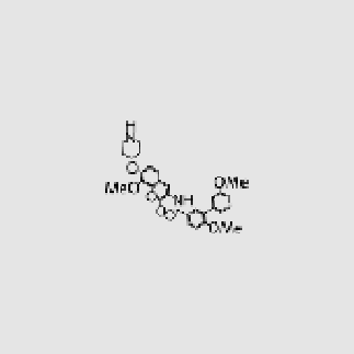 COc1cccc(-c2cc(C(=O)Nc3cc4ccc(OC5CCNCC5)c(OC)c4oc3=O)ccc2OC)c1